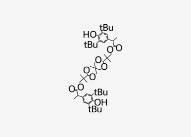 CC(C(=O)OCC(C)(C)C1OCC2(CO1)COC(C(C)(C)COC(=O)C(C)c1cc(C(C)(C)C)c(O)c(C(C)(C)C)c1)OC2)c1cc(C(C)(C)C)c(O)c(C(C)(C)C)c1